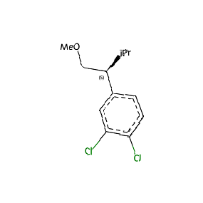 COC[C@H](c1ccc(Cl)c(Cl)c1)C(C)C